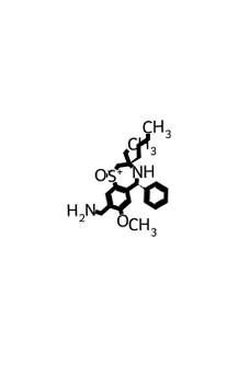 CCCC[C@]1(CC)C[S+]([O-])c2cc(CN)c(OC)cc2[C@@H](c2ccccc2)N1